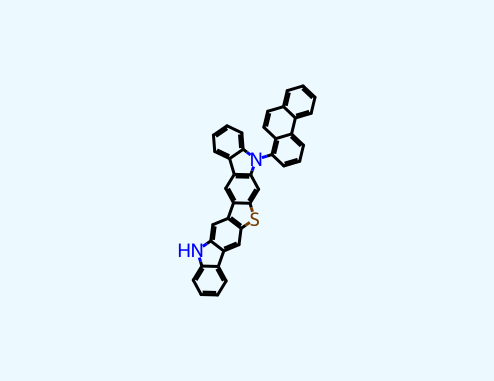 c1ccc2c(c1)ccc1c(-n3c4ccccc4c4cc5c(cc43)sc3cc4c(cc35)[nH]c3ccccc34)cccc12